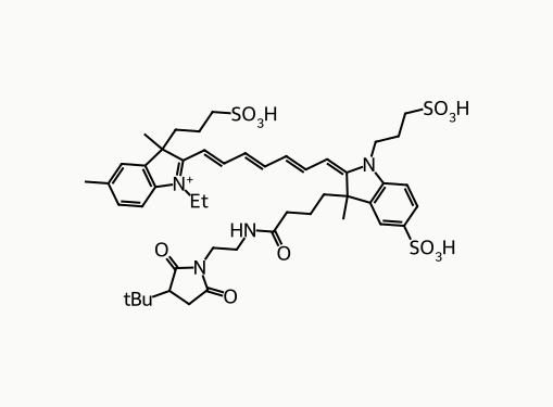 CC[N+]1=C(/C=C/C=C/C=C/C=C2/N(CCCS(=O)(=O)O)c3ccc(S(=O)(=O)O)cc3C2(C)CCCC(=O)NCCN2C(=O)CC(C(C)(C)C)C2=O)C(C)(CCCS(=O)(=O)O)c2cc(C)ccc21